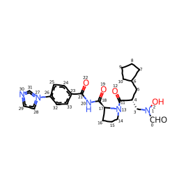 O=CN(O)C[C@@H](CC1CCCC1)C(=O)N1CCC[C@H]1C(=O)NC(=O)c1ccc(-n2ccnc2)cc1